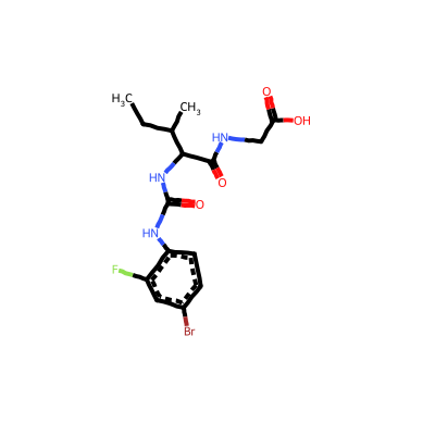 CCC(C)C(NC(=O)Nc1ccc(Br)cc1F)C(=O)NCC(=O)O